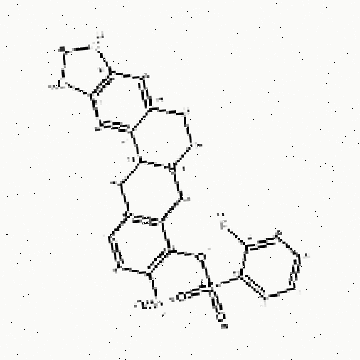 COc1ccc2c(c1OS(=O)(=O)c1ccccc1F)CN1CCc3cc4c(cc3C1C2)OCO4